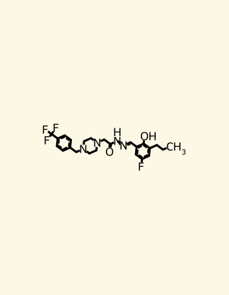 CCCc1cc(F)cc(/C=N/NC(=O)CN2CCN(Cc3ccc(C(F)(F)F)cc3)CC2)c1O